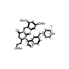 CNCCC1CC(=O)N(Cc2ccc(OC)cc2OC)C(=O)N1c1cnn2ccc(C[C@@H]3CCN[C@@H](C)C3)cc12